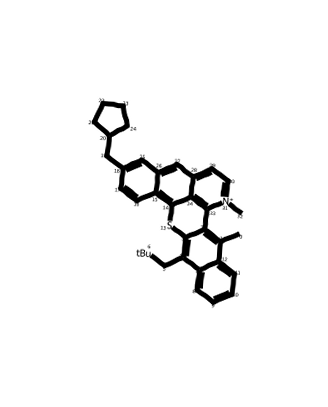 Cc1c2c(c(CC(C)(C)C)c3ccccc13)Sc1c3ccc(CC4CCCC4)cc3cc3cc[n+](C)c-2c13